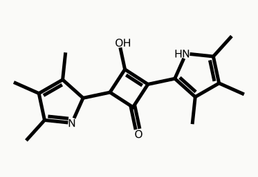 CC1=NC(C2C(=O)C(c3[nH]c(C)c(C)c3C)=C2O)C(C)=C1C